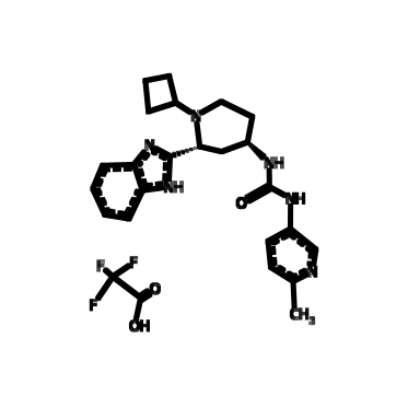 Cc1ccc(NC(=O)N[C@@H]2CCN(C3CCC3)[C@@H](c3nc4ccccc4[nH]3)C2)cn1.O=C(O)C(F)(F)F